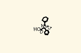 COCn1c(C2CCCCC2)nc(C(=O)O)c1-c1ccccc1